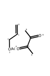 C=CCOC(C)=O.CC(=O)C(C)=O